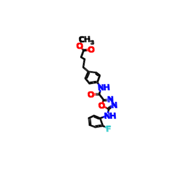 COC(=O)CCCc1ccc(NC(=O)c2nnc(Nc3ccccc3F)o2)cc1